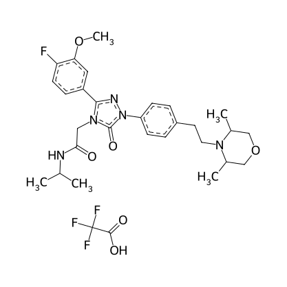 COc1cc(-c2nn(-c3ccc(CCN4C(C)COCC4C)cc3)c(=O)n2CC(=O)NC(C)C)ccc1F.O=C(O)C(F)(F)F